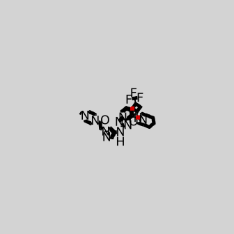 CN1CCN(C(=O)Cn2cc(Nc3nc4c(N5CC6CCCC(C5)N6C(=O)[C@H]5C[C@H](C(F)(F)F)C5)cccn4n3)cn2)CC1